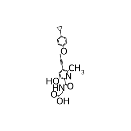 Cc1nc(C(=O)NCC(=O)O)c(O)cc1C#CCOc1ccc(C2CC2)cc1